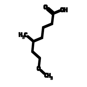 COCCC(C)CCCC(=O)O